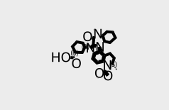 COC(=O)N1c2ccc3c(nc(C(=O)N(C)C4CCCCC4)n3[C@@H]3CCC[C@@H](C(=O)O)C3)c2CC[C@@H]1C